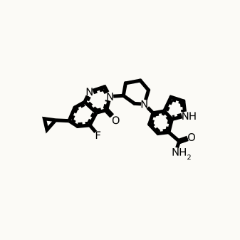 NC(=O)c1ccc(N2CCCC(n3cnc4cc(C5CC5)cc(F)c4c3=O)C2)c2cc[nH]c12